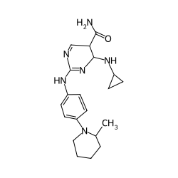 CC1CCCCN1c1ccc(NC2=NC(NC3CC3)C(C(N)=O)C=N2)cc1